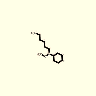 CON(CCCCCN)C1CCCCC1